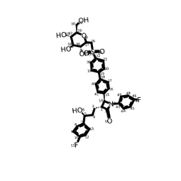 O=C1[C@H](CC[C@H](O)c2ccc(F)cc2)[C@@H](c2ccc(-c3ccc(S(=O)(=O)CC4O[C@H](CO)[C@@H](O)[C@H](O)[C@H]4O)cc3)cc2)N1c1ccc(F)cc1